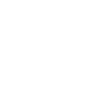 CC(O)CNC(=O)C(C)(CC(C)(C)C(=O)NCCCCCC(=O)NNC(=O)OC(C)(C)C)C(C)(C)C(C)(C#N)CCC(=O)NCCCN